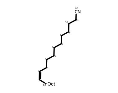 CCCCCCCC/C=C\CCCCCCCCCC#N